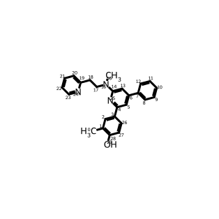 Cc1cc(-c2cc(-c3ccccc3)cc(N(C)CCc3ccccn3)n2)ccc1O